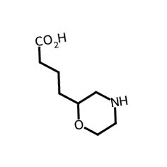 O=C(O)CCCC1CNCCO1